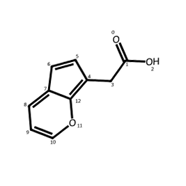 O=C(O)Cc1ccc2cccoc1-2